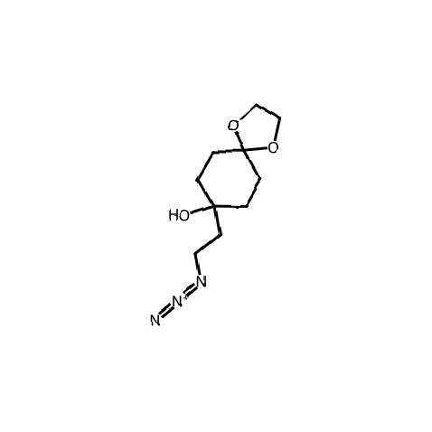 [N-]=[N+]=NCCC1(O)CCC2(CC1)OCCO2